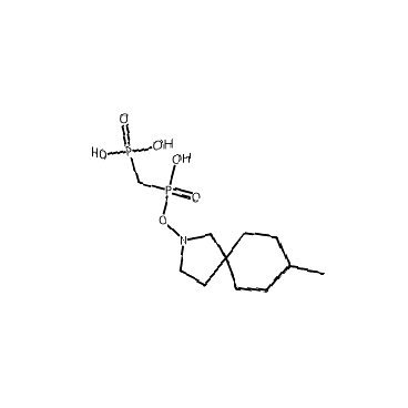 CC1CCC2(CC1)CCN(OP(=O)(O)CP(=O)(O)O)C2